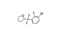 Fc1c(Br)cccc1C(F)(F)C1CCCO1